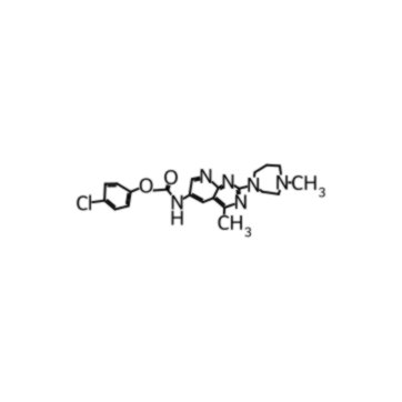 Cc1nc(N2CCCN(C)CC2)nc2ncc(NC(=O)COc3ccc(Cl)cc3)cc12